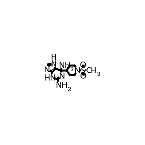 CS(=O)(=O)N1CCC(C2(N)N=C(N)Nc3nc[nH]c32)CC1